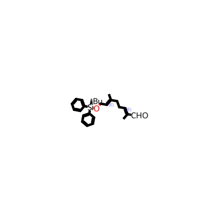 C/C(C=O)=C\CC/C(C)=C/CO[Si](c1ccccc1)(c1ccccc1)C(C)(C)C